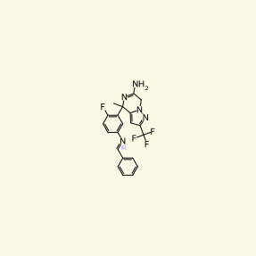 CC1(c2cc(/N=C/c3ccccc3)ccc2F)N=C(N)Cn2nc(C(F)(F)F)cc21